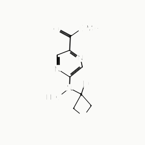 CCC1(N(C)c2cnc(C(=O)OC)cn2)COC1